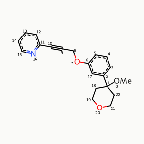 COC1(c2cccc(OCC#Cc3ccccn3)c2)CCOCC1